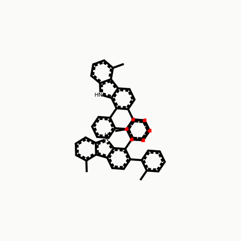 Cc1ccccc1-c1ccc2c([nH]c3cccc(C)c32)c1-c1ccccc1-c1ccccc1-c1c(-c2ccccc2C)ccc2c1[nH]c1cccc(C)c12